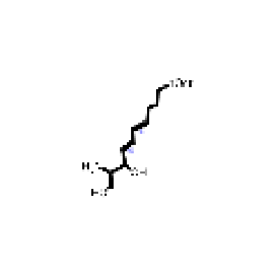 CCCCCCCCCCC/C=C/C=C/C(O)C(N)CO